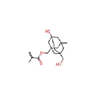 C=C(C)C(=O)OCC12CC3(C)CC(O)(CC(CO)(C3)C1)C2